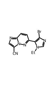 CCn1cnc(Br)c1-c1ccc2ncc(C#N)n2n1